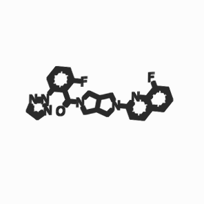 O=C(c1c(F)cccc1-n1nccn1)N1CC2CN(c3ccc4cccc(F)c4n3)CC2C1